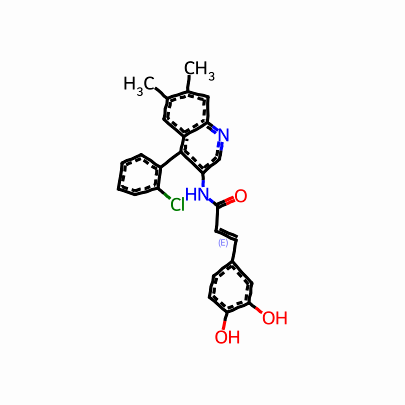 Cc1cc2ncc(NC(=O)/C=C/c3ccc(O)c(O)c3)c(-c3ccccc3Cl)c2cc1C